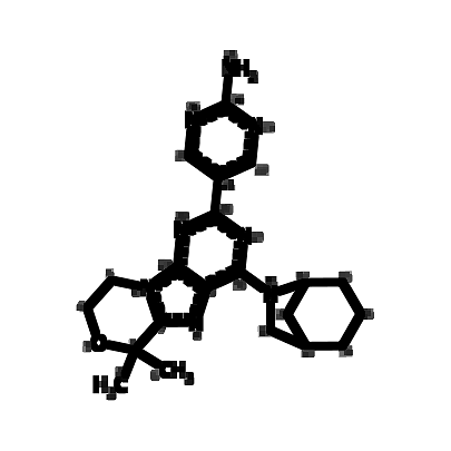 CC1(C)OCCn2c1nc1c(N3CC4CCCC3C4)nc(-c3cnc(N)nc3)nc12